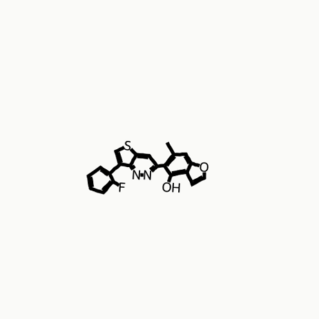 Cc1cc2occc2c(O)c1-c1cc2scc(-c3ccccc3F)c2nn1